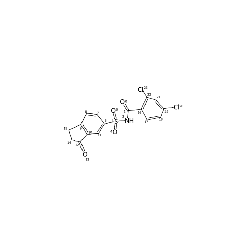 O=C(NS(=O)(=O)c1ccc2c(c1)C(=O)CC2)c1ccc(Cl)cc1Cl